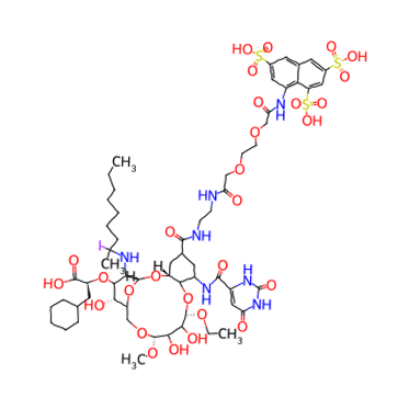 CCCCCCCC(C)(I)NC1C(O[C@@H](CC2CCCCC2)C(=O)O)[C@@H](O)C2CO[C@@H](OC)C(O)C(O)[C@@H](OCC)OC3C(NC(=O)c4cc(=O)[nH]c(=O)[nH]4)CC(C(=O)NCCNC(=O)COCCOCC(=O)Nc4cc(S(=O)(=O)O)cc5cc(S(=O)(=O)O)cc(S(=O)(=O)O)c45)C[C@H]3O[C@@H]1O2